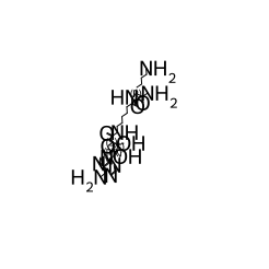 NCCCC[C@@H](NC(=O)CCCCCNC(=O)[C@H]1O[C@@H](n2cnc3c(N)ncnc32)[C@H](O)[C@@H]1O)C(N)=O